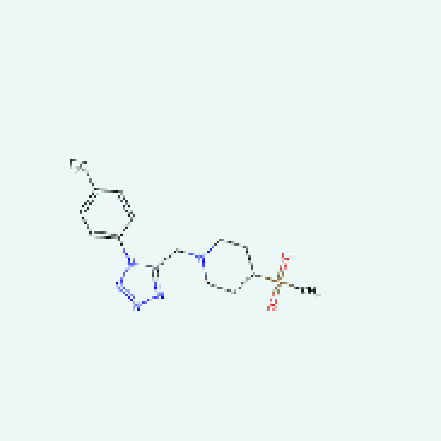 CS(=O)(=O)C1CCN(Cc2nnnn2-c2ccc(C(F)(F)F)cc2)CC1